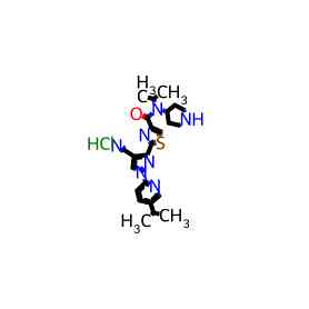 CC(C)c1ccc(-n2cc(C#N)c(-c3nc(C(=O)N(C(C)C)C4CCNCC4)cs3)n2)nc1.Cl